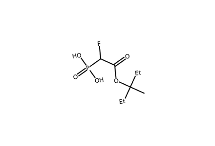 CCC(C)(CC)OC(=O)C(F)P(=O)(O)O